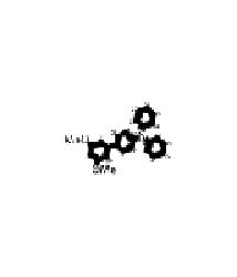 COc1cc(OC)cc(-c2ccc(N(c3ccccc3)c3ccccc3)cc2)c1